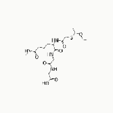 CCOC(C)SCC(=O)NC(CCCC(=O)NC)C(=O)NCC(=O)NCC(=O)O